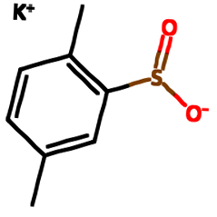 Cc1ccc(C)c(S(=O)[O-])c1.[K+]